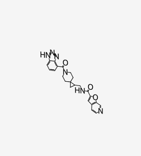 O=C(NCC1CC12CCN(C(=O)c1cccc3[nH]nnc13)CC2)c1cc2ccncc2o1